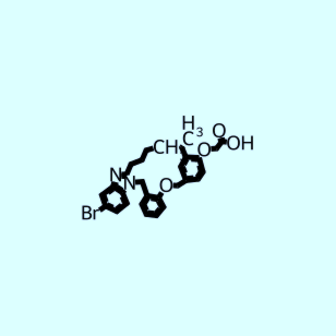 CCCCc1nc2cc(Br)ccc2n1Cc1ccccc1OCc1ccc(OCC(=O)O)c(CC)c1